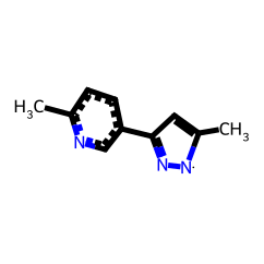 CC1=CC(c2ccc(C)nc2)=N[N]1